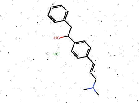 CN(C)C/C=C/c1ccc(C(O)Cc2ccccc2)cc1.Cl